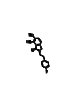 O=C1c2c(ccc(O)c2O)CN1CCc1ccc(F)cc1